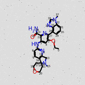 CCOc1cc(Nc2ccc3c(n2)CN(C)C32CCOCC2)c(C(N)=O)nc1-c1cccc2c1ncn2C